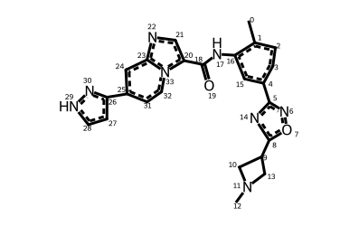 Cc1ccc(-c2noc(C3CN(C)C3)n2)cc1NC(=O)c1cnc2cc(-c3cc[nH]n3)ccn12